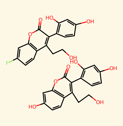 O=c1oc2cc(F)ccc2c(CCO)c1-c1ccc(O)cc1O.O=c1oc2cc(O)ccc2c(CCO)c1-c1ccc(O)cc1O